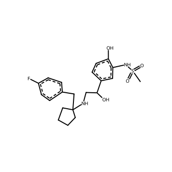 CS(=O)(=O)Nc1cc(C(O)CNC2(Cc3ccc(F)cc3)CCCC2)ccc1O